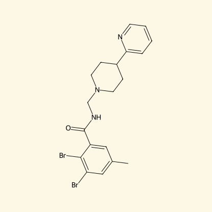 Cc1cc(Br)c(Br)c(C(=O)NCN2CCC(c3ccccn3)CC2)c1